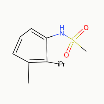 Cc1cccc(NS(C)(=O)=O)c1C(C)C